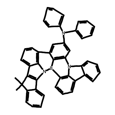 CC1(C)c2ccccc2-c2c1c1cccc3c1n2B1c2c-3cc(N(c3ccccc3)c3ccccc3)cc2-n2c3ccccc3c3cccc1c32